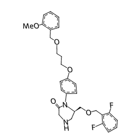 COc1ccccc1COCCCOc1ccc(N2C(=O)CNC[C@@H]2COCc2c(F)cccc2F)cc1